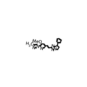 COc1cc(C=Cc2nc3n(n2)CCC3c2ccccc2)cnc1-n1cnc(C)c1